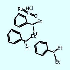 CCP(CC)c1ccccc1.CCP(CC)c1ccccc1.CCP(CC)c1ccccc1.Cl.O=[C]=[Ru]